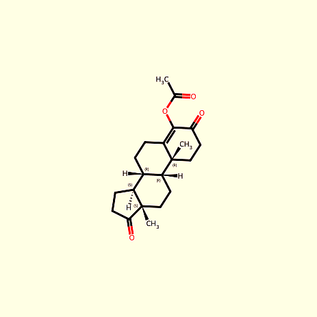 CC(=O)OC1=C2CC[C@@H]3[C@@H](CC[C@]4(C)C(=O)CC[C@@H]34)[C@@]2(C)CCC1=O